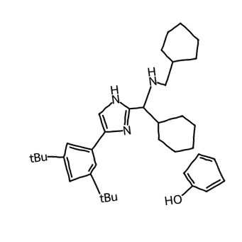 CC(C)(C)c1cc(-c2c[nH]c(C(NCC3CCCCC3)C3CCCCC3)n2)cc(C(C)(C)C)c1.Oc1ccccc1